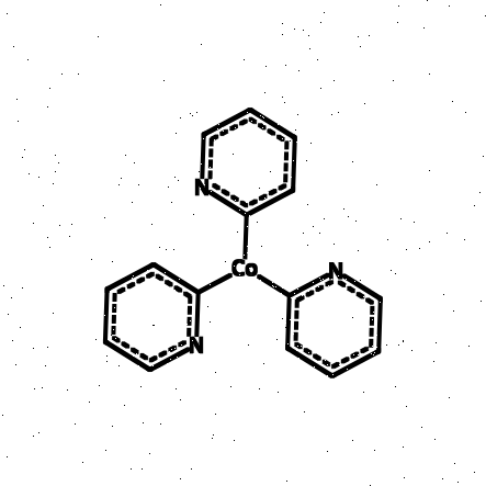 c1cc[c]([Co]([c]2ccccn2)[c]2ccccn2)nc1